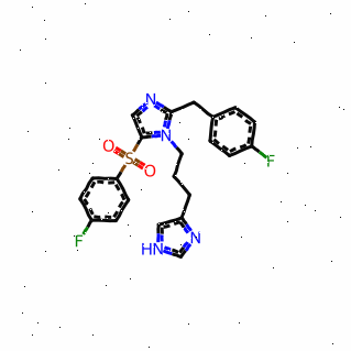 O=S(=O)(c1ccc(F)cc1)c1cnc(Cc2ccc(F)cc2)n1CCCc1c[nH]cn1